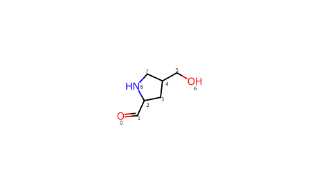 O=CC1CC(CO)CN1